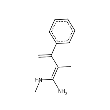 C=C(/C(C)=C(/N)NC)c1ccccc1